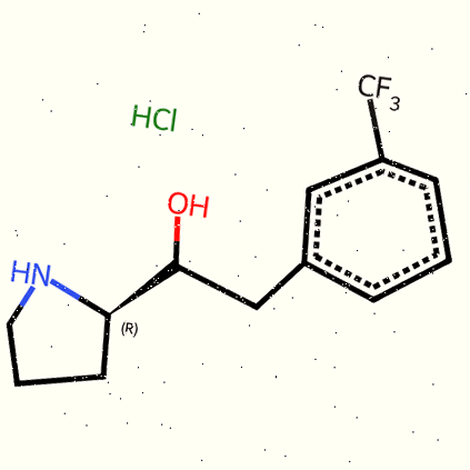 Cl.OC(Cc1cccc(C(F)(F)F)c1)[C@H]1CCCN1